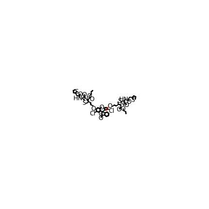 C=CCOC(=O)C1=C(C=CCOc2cc3c(cc2Cl)C2(OC(=O)c4ccccc42)c2cc(Cl)c(OCC=CC4=C(C(=O)OCC=C)N5C(=O)C(NC(=O)Cc6cccs6)C5SC4)cc2O3)CSC2C(NC(=O)Cc3cccs3)C(=O)N12